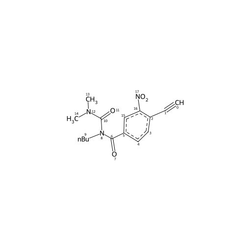 C#Cc1ccc(C(=O)N(CCCC)C(=O)N(C)C)cc1[N+](=O)[O-]